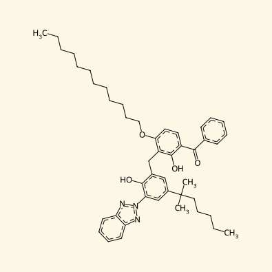 CCCCCCCCCCCCOc1ccc(C(=O)c2ccccc2)c(O)c1Cc1cc(C(C)(C)CCCCC)cc(-n2nc3ccccc3n2)c1O